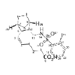 O=C(O)CCC/C=C\[C@@H]1[C@@H]2CC[C@@H](C2)[C@@H]1CNS(=O)(=O)c1ccccc1I